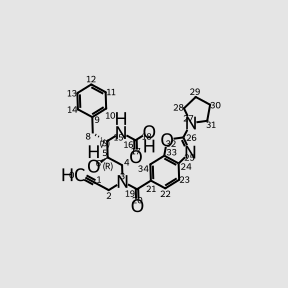 C#CCN(C[C@@H](O)[C@H](Cc1ccccc1)NC(=O)O)C(=O)c1ccc2nc(N3CCCC3)oc2c1